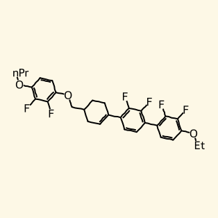 CCCOc1ccc(OCC2CC=C(c3ccc(-c4ccc(OCC)c(F)c4F)c(F)c3F)CC2)c(F)c1F